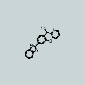 OC(c1ccccn1)c1ccc(-c2nc3ccccc3o2)cc1Cl